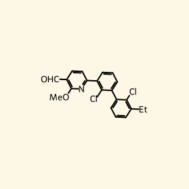 CCc1cccc(-c2cccc(-c3ccc(C=O)c(OC)n3)c2Cl)c1Cl